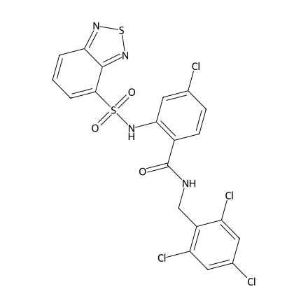 O=C(NCc1c(Cl)cc(Cl)cc1Cl)c1ccc(Cl)cc1NS(=O)(=O)c1cccc2nsnc12